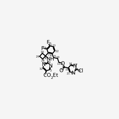 CCOC(=O)c1cnc(NC2(c3c(CCCOC(=O)c4cnc(Cl)nc4)ccc(F)c3F)CCC2)nc1